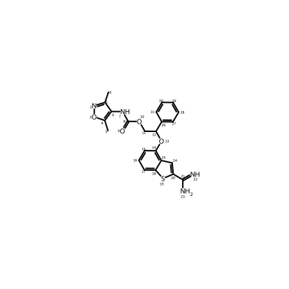 Cc1noc(C)c1NC(=O)OCC(Oc1cccc2sc(C(=N)N)cc12)c1ccccc1